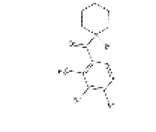 Cc1c(C(=O)C2(Br)CCCCC2)ccc(Br)c1Br